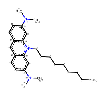 CCCCCCCCCCCCCCCCCC[n+]1c2cc(N(C)C)ccc2cc2ccc(N(C)C)cc21